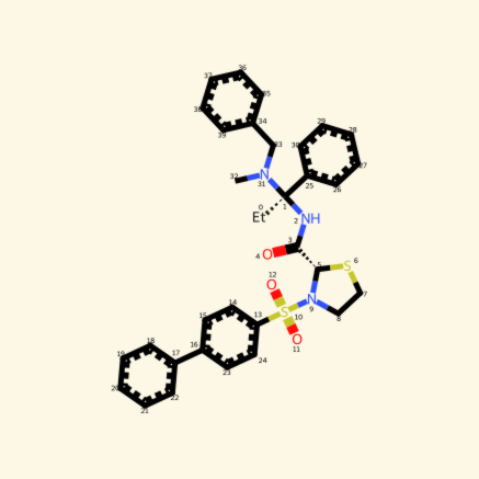 CC[C@@](NC(=O)[C@@H]1SCCN1S(=O)(=O)c1ccc(-c2ccccc2)cc1)(c1ccccc1)N(C)Cc1ccccc1